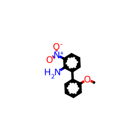 COc1ccccc1-c1cccc([N+](=O)[O-])c1N